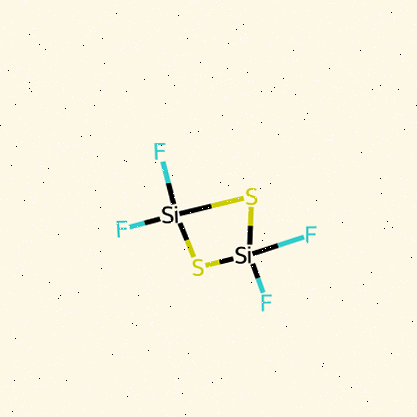 F[Si]1(F)S[Si](F)(F)S1